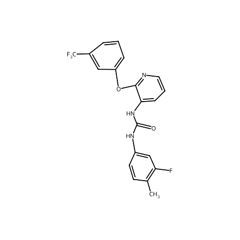 Cc1ccc(NC(=O)Nc2cccnc2Oc2cccc(C(F)(F)F)c2)cc1F